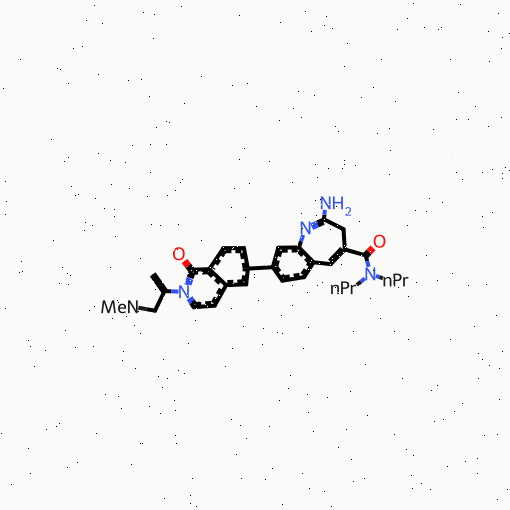 C=C(CNC)n1ccc2cc(-c3ccc4c(c3)N=C(N)CC(C(=O)N(CCC)CCC)=C4)ccc2c1=O